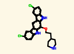 Clc1ccc2[nH]c3c(OCCC4CCNCC4)c4[nH]c5ccc(Cl)cc5c4cc3c2c1